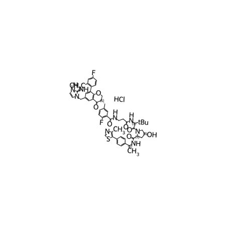 Cc1cc(F)ccc1-c1cc(Cn2ccn(C)c2=N)cc2c1OC[C@H](Cc1ccc(F)c(C(=O)NCCC(=O)N[C@H](C(=O)N3C[C@H](O)C[C@H]3C(=O)N[C@@H](C)c3ccc(-c4scnc4C)cc3)C(C)(C)C)c1)C2=O.Cl